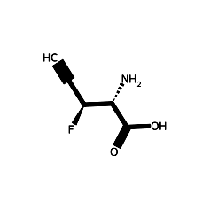 C#C[C@H](F)[C@H](N)C(=O)O